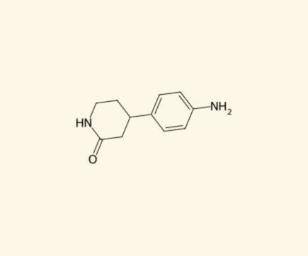 Nc1ccc(C2CCNC(=O)C2)cc1